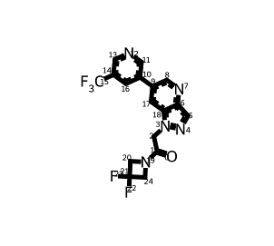 O=C(Cn1ncc2ncc(-c3cncc(C(F)(F)F)c3)cc21)N1CC(F)(F)C1